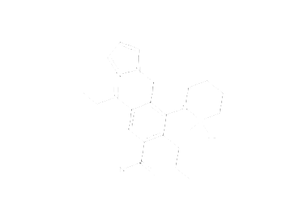 CCCc1c(C(N)=O)cc(NCC)c(Cn2cccn2)c1N1CCCCS1(O)O